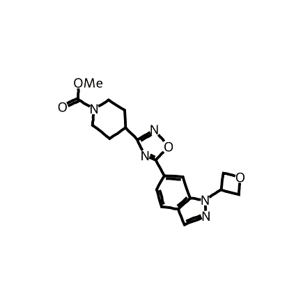 COC(=O)N1CCC(c2noc(-c3ccc4cnn(C5COC5)c4c3)n2)CC1